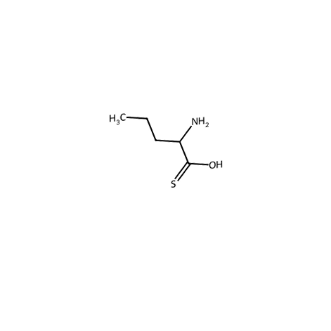 CCCC(N)C(O)=S